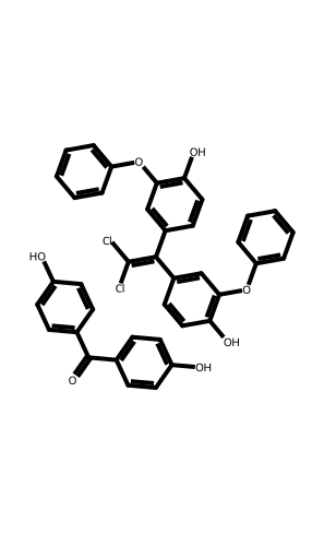 O=C(c1ccc(O)cc1)c1ccc(O)cc1.Oc1ccc(C(=C(Cl)Cl)c2ccc(O)c(Oc3ccccc3)c2)cc1Oc1ccccc1